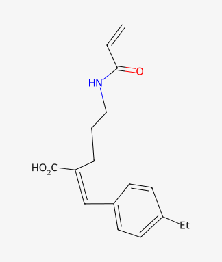 C=CC(=O)NCCC/C(=C\c1ccc(CC)cc1)C(=O)O